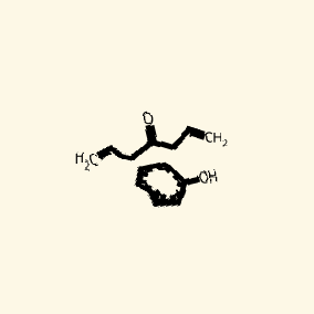 C=CCC(=O)CC=C.Oc1ccccc1